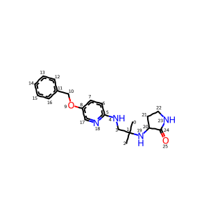 CC(C)(CNc1ccc(OCc2ccccc2)cn1)NC1CCNC1=O